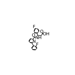 O=C(O)CC(NC(=O)c1cccc(-c2ccccc2F)n1)c1ccc(F)cc1